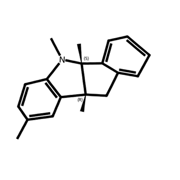 Cc1ccc2c(c1)[C@@]1(C)Cc3ccccc3[C@@]1(C)N2C